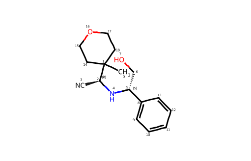 CC1([C@H](C#N)N[C@H](CO)c2ccccc2)CCOCC1